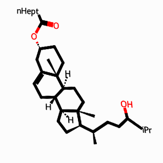 CCCCCCCC(=O)O[C@@H]1CC[C@@]2(C)C(=CC[C@H]3[C@@H]4CC[C@H]([C@H](C)CCC(O)C(C)C)[C@@]4(C)CC[C@@H]32)C1